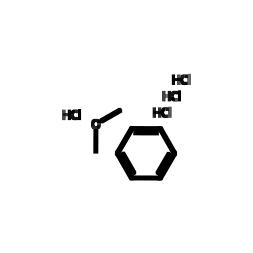 COC.Cl.Cl.Cl.Cl.c1ccccc1